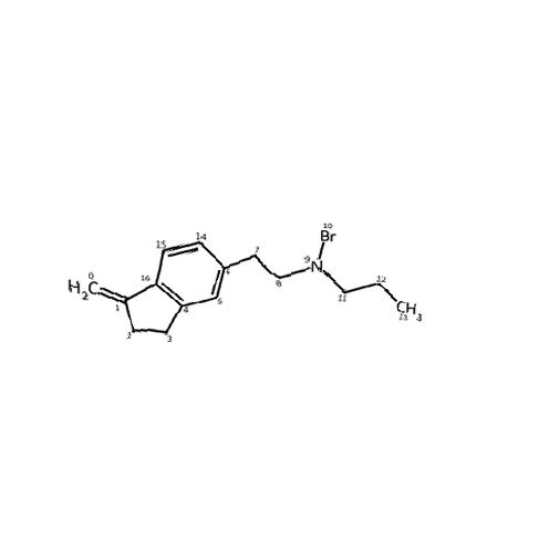 C=C1CCc2cc(CCN(Br)CCC)ccc21